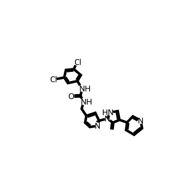 C=C1C(c2cccnc2)=CNN1c1cc(CNC(=O)Nc2cc(Cl)cc(Cl)c2)ccn1